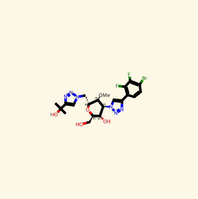 CO[C@@H]1[C@@H](n2cc(-c3ccc(Br)c(F)c3F)nn2)[C@@H](O)[C@@H](CO)O[C@@H]1Cn1cc(C(C)(C)O)nn1